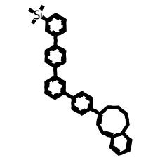 C[Si](C)(C)c1cccc(-c2ccc(-c3cccc(-c4ccc(/C5=C/C=C6/C=CC=CC6CCCC5)cc4)c3)cc2)c1